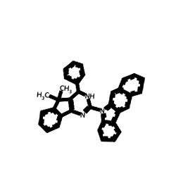 CC1(C)C2=C(N=C(n3c4ccccc4c4cc5ccccc5cc43)NC2c2ccccc2)c2ccccc21